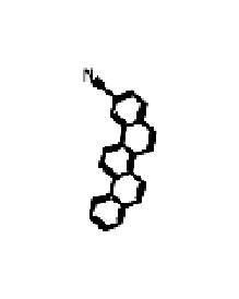 N#Cc1ccc2ccc3c(ccc4c5ccccc5ccc43)c2c1